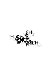 C=CCOc1nc2c(C)cccn2c1C=C(C#N)C(=O)OCC